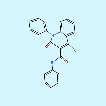 O=C(Nc1ccccc1)c1c(Cl)c2ccccc2n(-c2ccccc2)c1=O